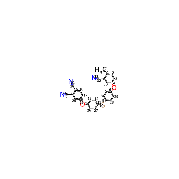 Cc1ccc(Oc2ccc(Sc3ccc(Oc4ccc(C#N)c(C#N)c4)cc3)cc2)cc1C#N